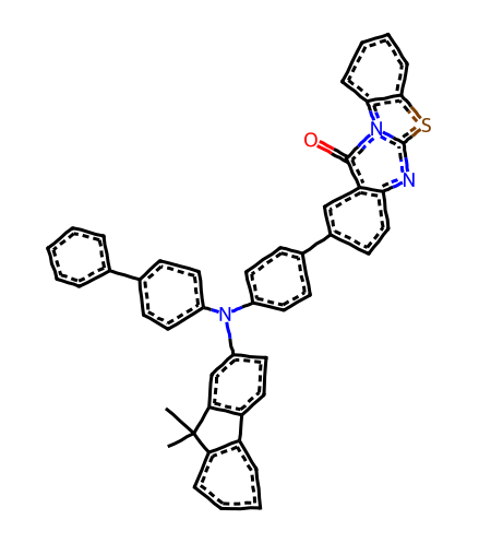 CC1(C)c2ccccc2-c2ccc(N(c3ccc(-c4ccccc4)cc3)c3ccc(-c4ccc5nc6sc7ccccc7n6c(=O)c5c4)cc3)cc21